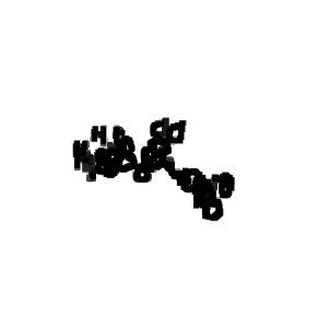 COc1cc(C(=O)N(C)CC(CCN2CCCN(c3nc4ccccc4n3Cc3ccco3)CC2)c2ccc(Cl)c(Cl)c2)cc(OC)c1OC